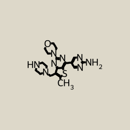 Cc1sc2c(-c3cnc(N)nc3)nc(N3CCOCC3)nc2c1CN1CCNCC1